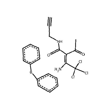 C#CCNC(=O)/C(C(C)=O)=C(\N)C(Cl)(Cl)Cl.[B](c1ccccc1)c1ccccc1